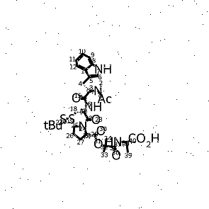 CC(=O)N(C)[C@@H](Cc1c[nH]c2ccccc12)C(=O)N[C@@H](CSSC(C)(C)C)C(=O)N1CCC[C@H]1C(=O)OC(C)(C)C(=O)N[C@@H](C)C(=O)O